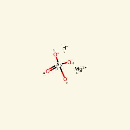 O=[As]([O-])([O-])[O-].[H+].[Mg+2]